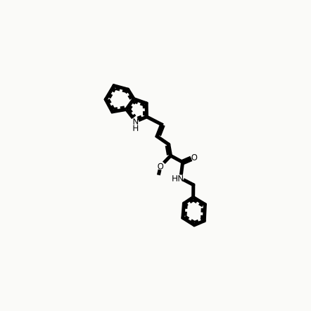 COC(=CC=Cc1cc2ccccc2[nH]1)C(=O)NCc1ccccc1